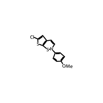 COc1ccc(N2C=Cc3cc(Cl)sc3S2)cc1